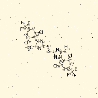 Cc1nc(SSc2nc(C)n(-c3c(Cl)cc(C(F)(F)F)cc3Cl)n2)nn1-c1c(Cl)cc(C(F)(F)F)cc1Cl